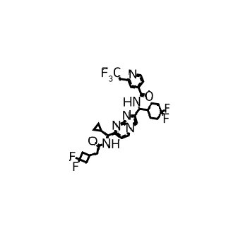 O=C(CC1CC(F)(F)C1)NC(c1ccn2cc([C@@H](NC(=O)c3ccnc(CC(F)(F)F)c3)C3CCC(F)(F)CC3)nc2n1)C1CC1